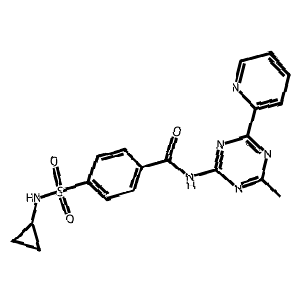 Cc1nc(NC(=O)c2ccc(S(=O)(=O)NC3CC3)cc2)nc(-c2ccccn2)n1